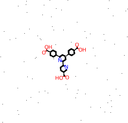 O=C(O)c1ccc(-c2cc(-c3ccc(C(=O)O)cc3)nc(-c3ccc(C(=O)O)cn3)c2)cc1